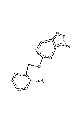 Nc1ccccc1COc1ncc2nc[nH]c2n1